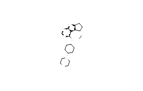 CC[C@H]1CCc2sc3ncnc(N[C@H]4CC[C@H](N5CCOCC5)CC4)c3c21